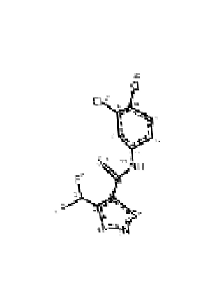 FC(F)c1nnsc1C(=S)Nc1ccc(Cl)c(Cl)c1